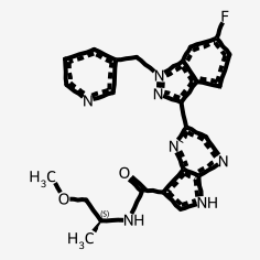 COC[C@H](C)NC(=O)c1c[nH]c2ncc(-c3nn(Cc4cccnc4)c4cc(F)ccc34)nc12